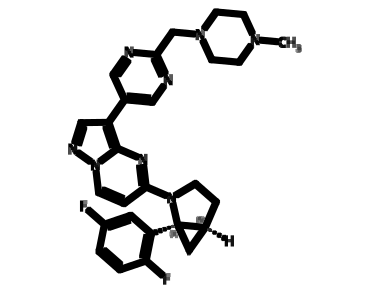 CN1CCN(Cc2ncc(-c3cnn4ccc(N5CC[C@H]6C[C@]65c5cc(F)ccc5F)nc34)cn2)CC1